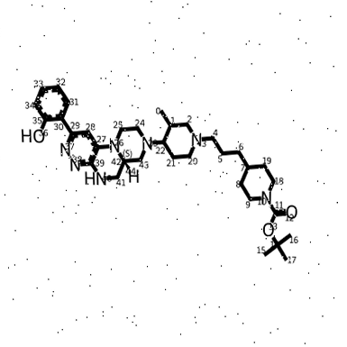 CC1CN(CCCC2CCN(C(=O)OC(C)(C)C)CC2)CCC1N1CCN2c3cc(-c4ccccc4O)nnc3NC[C@H]2C1